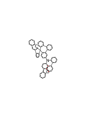 c1ccc(-c2ccccc2N(c2ccc3c(c2)-c2ccccc2-c2ccccc2C32c3ccccc3-c3cc4ccccc4cc32)c2ccc3c(c2)oc2ccccc23)cc1